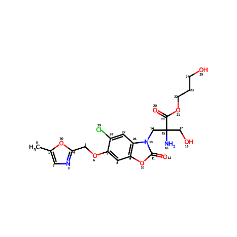 Cc1cnc(COc2cc3oc(=O)n(CC(N)(CO)C(=O)OCCCO)c3cc2Cl)o1